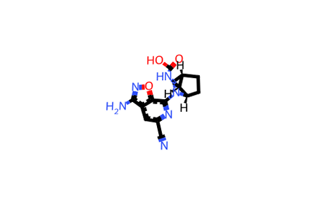 N#Cc1cc2c(N)noc2c(N2C[C@@H]3CC[C@H]2[C@@H]3NC(=O)O)n1